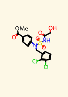 COC(=O)c1ccc(N(Cc2cccc(Cl)c2Cl)S(=O)(=O)NC(=O)CO)cc1